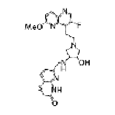 COc1ccc2ncc(F)c(CCN3C[C@@H](O)[C@@H](NCc4ccc5c(n4)NC(=O)CS5)C3)c2n1